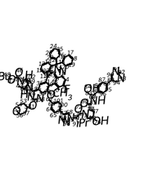 Cc1c(F)cc2nn(C(c3ccccc3)(c3ccccc3)c3ccccc3)cc2c1-c1c(C2CC2)cc2c(N3C[C@@H]4C[C@H]3CN4C(=O)OC(C)(C)C)nc(OC3CCOCC3)nc2c1OCc1ccc(-c2cn([C@H](C(=O)N3C[C@H](O)C[C@H]3C(=O)N[C@@H](CO)c3ccc(-c4cncnc4)cc3)C(C)C)nn2)cc1